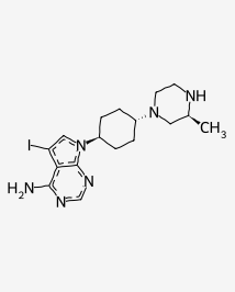 C[C@H]1CN([C@H]2CC[C@H](n3cc(I)c4c(N)ncnc43)CC2)CCN1